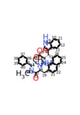 CCN(N[C@@H](Cc1c[nH]c2ccccc12)C(=O)O)[C@@H](Cc1ccc2ccccc2c1)C(=O)N(C)Cc1ccccc1